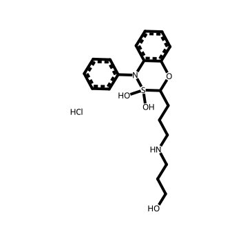 Cl.OCCCNCCCC1Oc2ccccc2N(c2ccccc2)S1(O)O